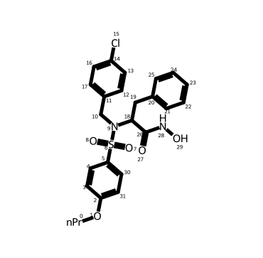 CCCOc1ccc(S(=O)(=O)N(Cc2ccc(Cl)cc2)C(Cc2ccccc2)C(=O)NO)cc1